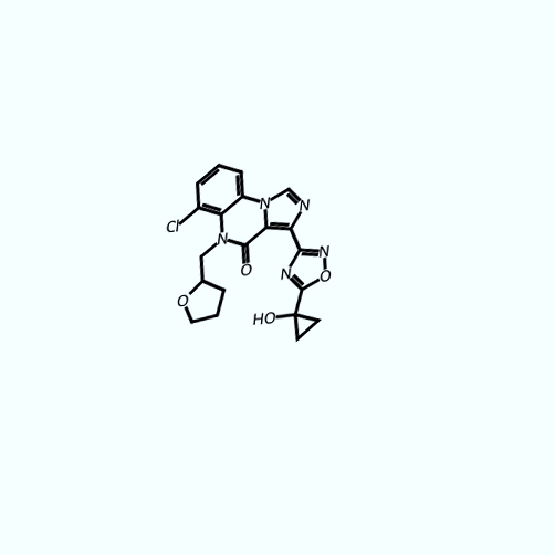 O=c1c2c(-c3noc(C4(O)CC4)n3)ncn2c2cccc(Cl)c2n1CC1CCCO1